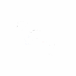 CCC1(COC(=O)c2cncn2[C@H](C)c2ccccc2)CC1